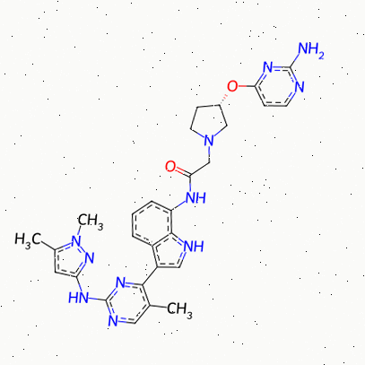 Cc1cnc(Nc2cc(C)n(C)n2)nc1-c1c[nH]c2c(NC(=O)CN3CC[C@H](Oc4ccnc(N)n4)C3)cccc12